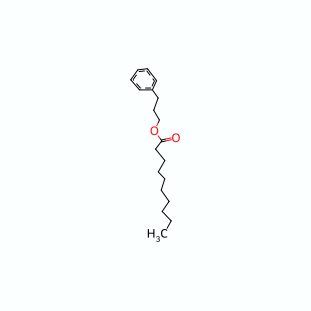 CCCCCCCCCC(=O)OCCCc1ccccc1